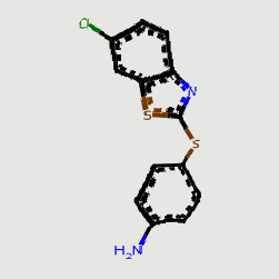 Nc1ccc(Sc2nc3ccc(Cl)cc3s2)cc1